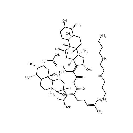 CC(=O)O[C@H]1C[C@@]2(C)[C@H](C[C@@H](O)C3[C@@]4(C)CC[C@@H](O)[C@@H](C)C4CC[C@@]32C)C1=C(CCC=C(C)C)C(=O)OC(=O)C(CCC=C(C)C)=C1[C@@H](OC(C)=O)C[C@@]2(C)[C@@H]1C[C@@H](O)[C@@H]1[C@@]3(C)CC[C@@H](O)[C@@H](C)C3CC[C@@]12C.NCCCNCCNCCCN